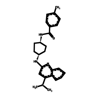 Cc1ccc(C(=O)N[C@H]2CC[C@@H](Nc3cc(N(C)C)c4ccccc4n3)CC2)cc1